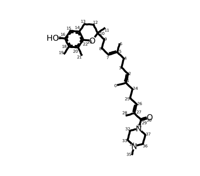 C/C(=C\CC/C(C)=C/CCC1(C)CCc2cc(O)c(C)c(C)c2O1)CC/C=C(\C)C(=O)N1CCN(C)CC1